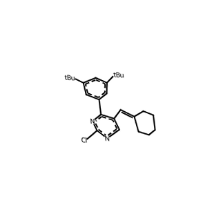 CC(C)(C)c1cc(-c2nc(Cl)ncc2C=C2CCCCC2)cc(C(C)(C)C)c1